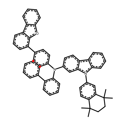 CC1(C)CCC(C)(C)c2cc(-n3c4ccccc4c4ccc(N(c5ccc(-c6cccc7c6oc6ccccc67)cc5)c5ccccc5-c5ccccc5)cc43)ccc21